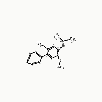 COc1cc(-c2ccccc2)c(C)cc1CN(C)C